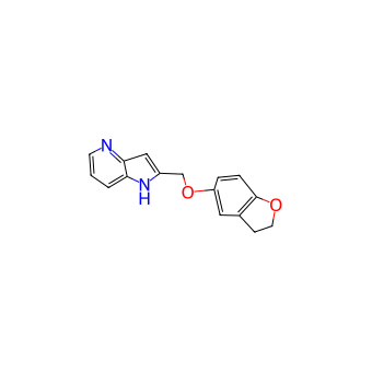 c1cnc2cc(COc3ccc4c(c3)CCO4)[nH]c2c1